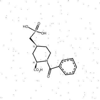 O=C(O)[C@H]1C[C@@H](CP(=O)(O)O)CCN1C(=O)c1ccccc1